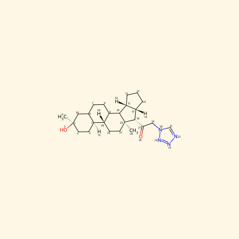 C[C@@]1(O)CC[C@H]2C(CCC3C4[C@@H]5CCC[C@@H]5[C@H](C(=O)Cn5cnnn5)[C@@]4(C)CC[C@@H]32)C1